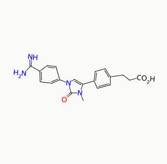 Cn1c(-c2ccc(CCC(=O)O)cc2)cn(-c2ccc(C(=N)N)cc2)c1=O